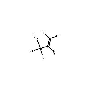 FC(F)=[C]([Zn])C(F)(F)F.I